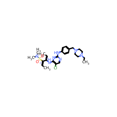 C/C=C(Nc1nc(Nc2ccc(CN3CCN(CC)CC3)cc2)ncc1Cl)\C(=C/C)S(=O)(=O)N(C)C